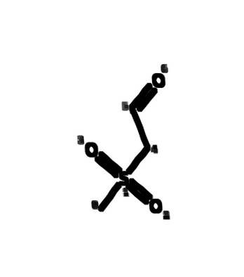 CS(=O)(=O)C[C]=O